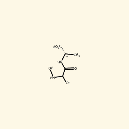 CC(C)C(NO)C(=O)N[C@@H](C)C(=O)O